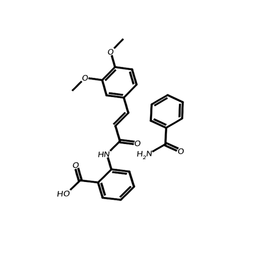 COc1ccc(/C=C/C(=O)Nc2ccccc2C(=O)O)cc1OC.NC(=O)c1ccccc1